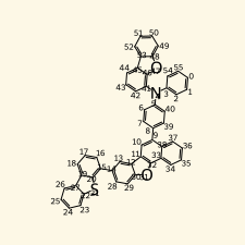 c1ccc(N(c2ccc(-c3cc4c5cc(-c6cccc7c6sc6ccccc67)ccc5oc4c4ccccc34)cc2)c2cccc3c2oc2ccccc23)cc1